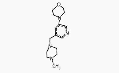 CN1CCN(Cc2cncc(N3CCOCC3)c2)CC1